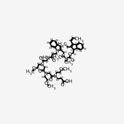 C=CC1=C(/C=C\C)c2ccccc2C1COC(=O)N(C)N(C)Cc1cc2ccccc2n1CCC(=O)NCC(=O)N(CCOC)CC(=O)N(CCOC)CC(=O)N(CCOC)CCC(=O)O